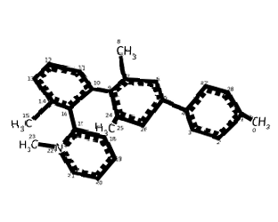 Cc1ccc(-c2cc(C)c(-c3cccc(C)c3-c3cccc[n+]3C)c(C)c2)cc1